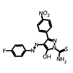 NC(=S)n1nc(-c2ccc([N+](=O)[O-])cc2)c(/N=N/c2ccc(F)cc2)c1O